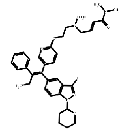 CN(C)C(=O)/C=C/CN(CCOc1ccc(/C(=C(/CC(F)(F)F)c2ccccc2)c2ccc3c(c2)c(F)nn3C2CCCCO2)cn1)C(=O)O